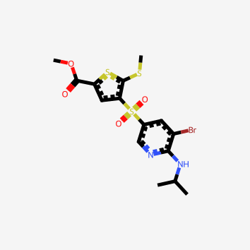 COC(=O)c1cc(S(=O)(=O)c2cnc(NC(C)C)c(Br)c2)c(SC)s1